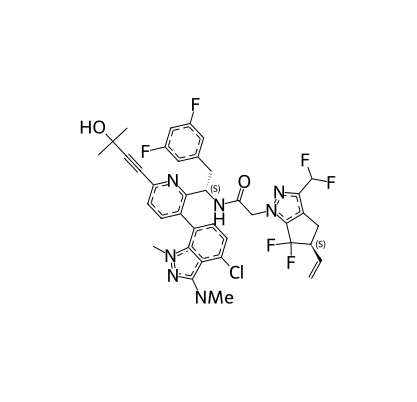 C=C[C@@H]1Cc2c(C(F)F)nn(CC(=O)N[C@@H](Cc3cc(F)cc(F)c3)c3nc(C#CC(C)(C)O)ccc3-c3ccc(Cl)c4c(NC)nn(C)c34)c2C1(F)F